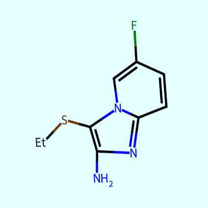 CCSc1c(N)nc2ccc(F)cn12